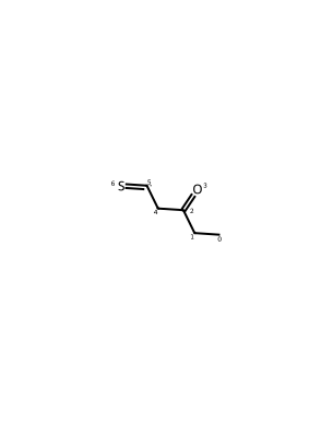 CCC(=O)C[C]=S